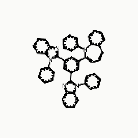 C1=Cc2ccccc2N(c2ccccc2)C(c2cc(-c3nc4ccccc4n3-c3ccccc3)cc(-c3nc4ccccc4n3-c3ccccc3)c2)=C1